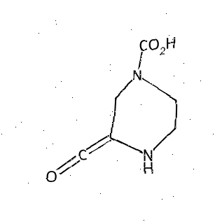 O=C=C1CN(C(=O)O)CCN1